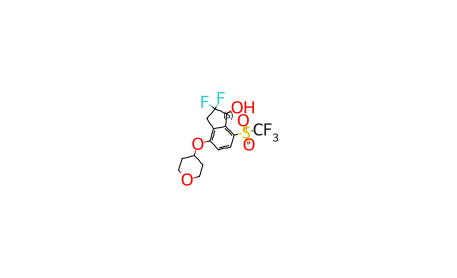 O=S(=O)(c1ccc(OC2CCOCC2)c2c1[C@H](O)C(F)(F)C2)C(F)(F)F